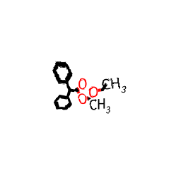 CCOC(C)OC(=O)C(c1ccccc1)c1ccccc1